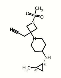 C[C@@H]1C[C@H]1NC1CCN(C2(CC#N)CN(S(C)(=O)=O)C2)CC1